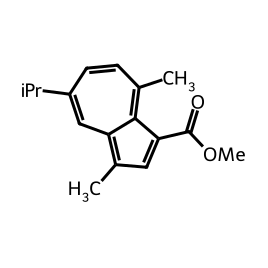 COC(=O)c1cc(C)c2cc(C(C)C)ccc(C)c1-2